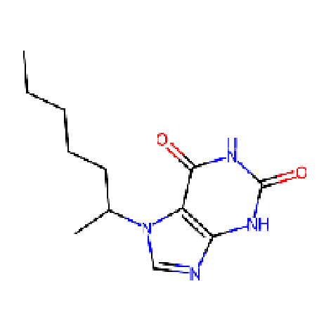 CCCCCC(C)n1cnc2[nH]c(=O)[nH]c(=O)c21